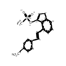 O=C(O)c1ccc(C=Cc2cccc3c2C(OS(=O)(=O)C(F)(F)F)=CC3)cc1